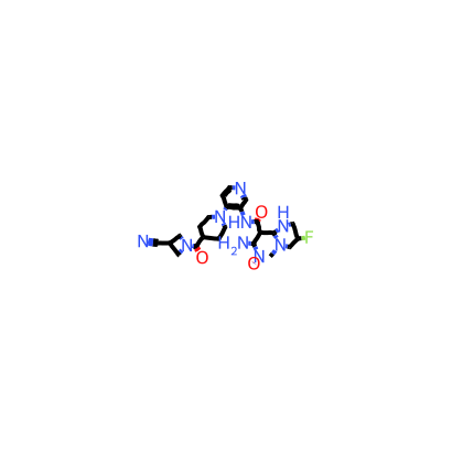 CN1CC(F)CNC1C(C(=O)Nc1cnccc1N1CCC(C(=O)N2CC(C#N)C2)CC1)C(N)N=O